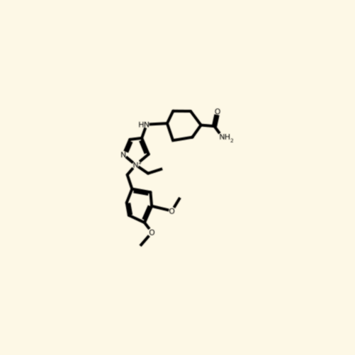 CC[N+]1(Cc2ccc(OC)c(OC)c2)C=C(NC2CCC(C(N)=O)CC2)C=N1